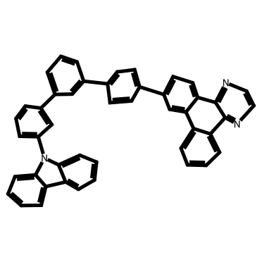 c1cc(-c2ccc(-c3ccc4c(c3)c3ccccc3c3nccnc43)cc2)cc(-c2cccc(-n3c4ccccc4c4ccccc43)c2)c1